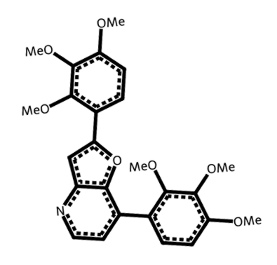 COc1ccc(-c2cc3nccc(-c4ccc(OC)c(OC)c4OC)c3o2)c(OC)c1OC